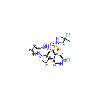 CC(C)(F)CNS(=O)(=O)c1cc2c(c3cnc(Cl)cc13)CCC2n1nccc1N